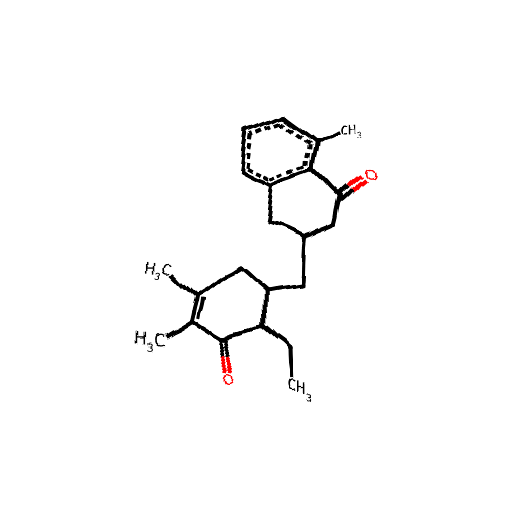 CCC1C(=O)C(C)=C(C)CC1CC1CC(=O)c2c(C)cccc2C1